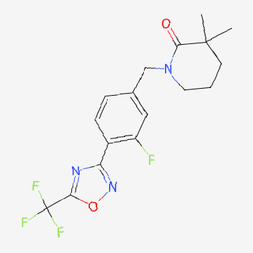 CC1(C)CCCN(Cc2ccc(-c3noc(C(F)(F)F)n3)c(F)c2)C1=O